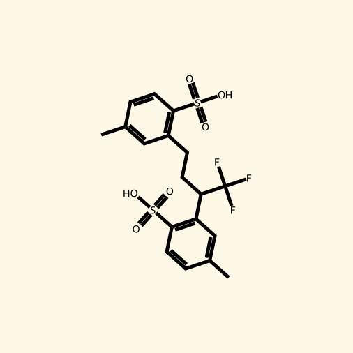 Cc1ccc(S(=O)(=O)O)c(CCC(c2cc(C)ccc2S(=O)(=O)O)C(F)(F)F)c1